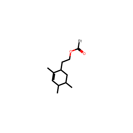 CCC(=O)OCCC1CC(C)C(C)C=C1C